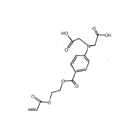 C=CC(=O)OCCOC(=O)c1ccc(N(CC(=O)O)CC(=O)O)cc1